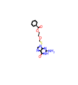 Nc1nc2c(ncn2SCOCCOC(=O)c2ccccc2)c(=O)[nH]1